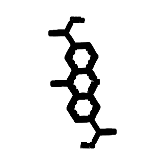 COC(=O)c1ccc2c(=O)c3cc(C(=O)OC)ccc3oc2c1